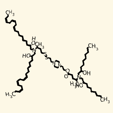 CC/C=C\C/C=C\C/C=C\CCCCCCC(O)CN(CC(O)CCCCCC/C=C\C/C=C\C/C=C\CC)C(C)CCSSCCN1CCN(CCOC(=O)CCC(C)N(CC(O)CCCCCCCC)CC(O)CCCCCCCC)CC1